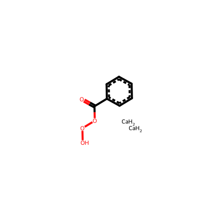 O=C(OOO)c1ccccc1.[CaH2].[CaH2]